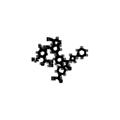 CCNC(=O)c1cc(Nc2nc(-c3ccc4c(c3)N([C@H]3C[C@@H](N5CCCCC5)C3)C(=O)C43CCN(C(=O)CC)CC3)cc3ncn(CC)c23)c(F)cc1C